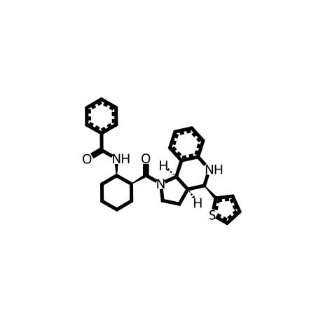 O=C(N[C@@H]1CCCC[C@@H]1C(=O)N1CC[C@@H]2[C@H](c3cccs3)Nc3ccccc3[C@@H]21)c1ccccc1